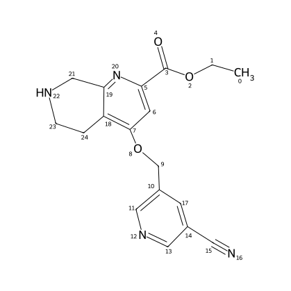 CCOC(=O)c1cc(OCc2cncc(C#N)c2)c2c(n1)CNCC2